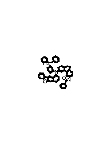 c1ccc(-c2nc3ccc4ccc5ccc(N(c6cccc([SiH](c7ccccc7)c7ccccc7)c6)c6cccc7cc8oc9ccccc9c8cc67)cc5c4c3o2)cc1